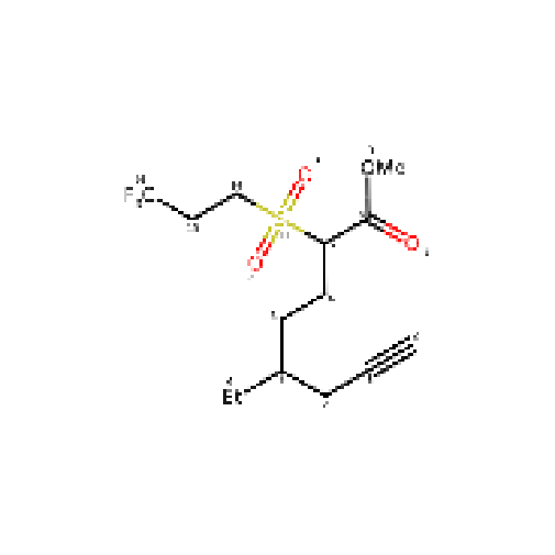 C#CCC(CC)CCC(C(=O)OC)S(=O)(=O)CCC(F)(F)F